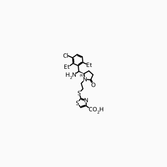 CCc1ccc(Cl)c(CC)c1C(N)[C@H]1CCC(=O)N1CCSc1nc(C(=O)O)cs1